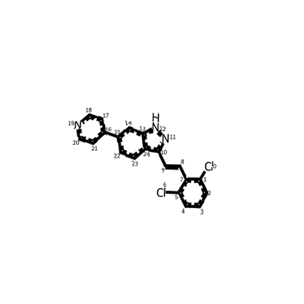 Clc1cccc(Cl)c1/C=C/c1n[nH]c2cc(-c3ccncc3)ccc12